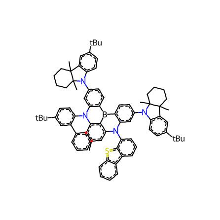 Cc1cc2c3c(c1)N(c1cccc4c1sc1ccccc14)c1cc(N4c5ccc(C(C)(C)C)cc5C5(C)CCCCC45C)ccc1B3c1ccc(N3c4ccc(C(C)(C)C)cc4C4(C)CCCCC34C)cc1N2c1ccc(C(C)(C)C)cc1-c1ccccc1